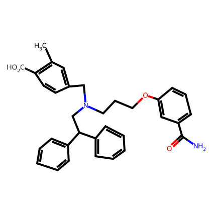 Cc1cc(CN(CCCOc2cccc(C(N)=O)c2)CC(c2ccccc2)c2ccccc2)ccc1C(=O)O